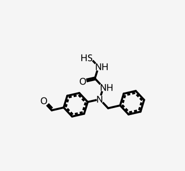 O=Cc1ccc(N(Cc2ccccc2)NC(=O)NS)cc1